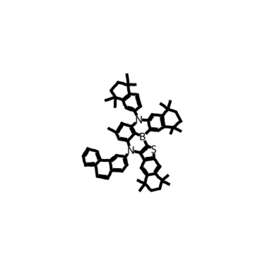 Cc1cc2c3c(c1)N(c1ccc4ccc5ccccc5c4c1)c1c(sc4cc5c(cc14)C(C)(C)CCC5(C)C)B3c1cc3c(cc1N2c1ccc2c(c1)C(C)(C)CCC2(C)C)C(C)(C)CCC3(C)C